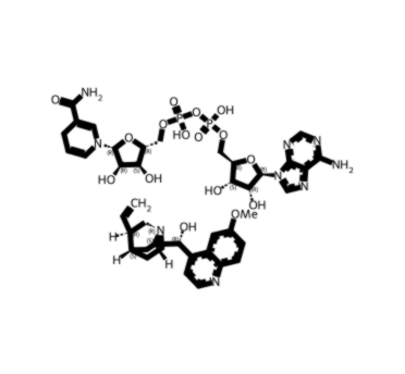 C=C[C@H]1C[N@]2CC[C@H]1C[C@H]2[C@H](O)c1ccnc2ccc(OC)cc12.NC(=O)C1=CN([C@@H]2O[C@H](COP(=O)(O)OP(=O)(O)OC[C@H]3O[C@@H](n4cnc5c(N)ncnc54)[C@H](O)[C@@H]3O)[C@@H](O)[C@H]2O)C=CC1